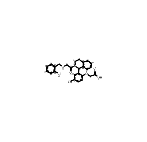 O=C(O)COc1ccc(Cl)cc1C1c2ccccc2CCN1C(=O)COCc1ccccc1Cl